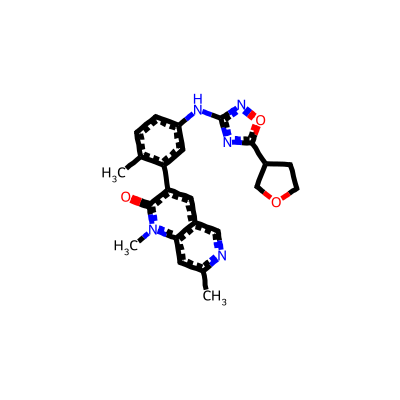 Cc1cc2c(cn1)cc(-c1cc(Nc3noc(C4CCOC4)n3)ccc1C)c(=O)n2C